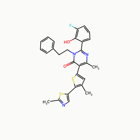 Cc1ncc(-c2sc(-c3c(C)nc(-c4cccc(F)c4O)n(CCc4ccccc4)c3=O)cc2C)s1